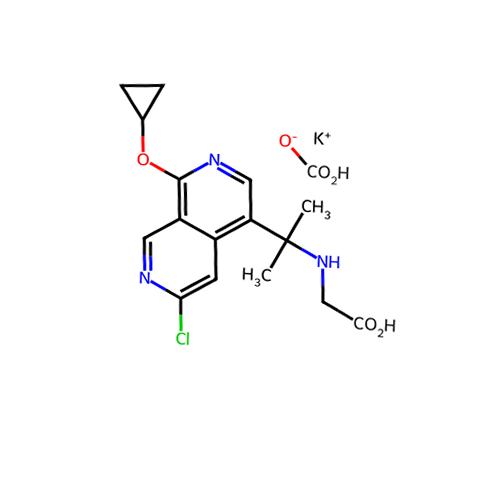 CC(C)(NCC(=O)O)c1cnc(OC2CC2)c2cnc(Cl)cc12.O=C([O-])O.[K+]